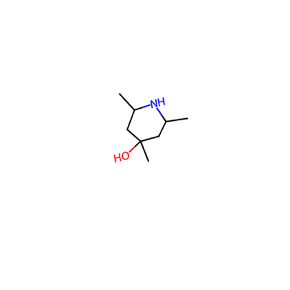 CC1CC(C)(O)CC(C)N1